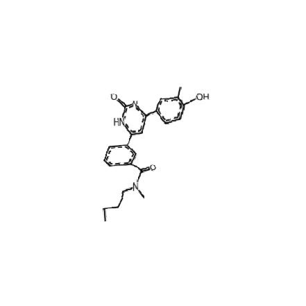 CCCCN(C)C(=O)c1cccc(-c2cc(-c3ccc(O)c(C)c3)nc(=O)[nH]2)c1